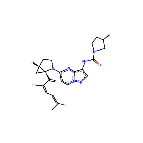 C=C(/C(F)=C\C=C(/C)F)[C@@]12C[C@@H]1CCN2c1ccn2ncc(NC(=O)N3CC[C@@H](F)C3)c2n1